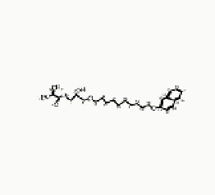 C=C(C)C(=O)OCC(O)COCCCCCCCCCCOc1ccc2ccccc2c1